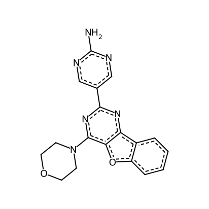 Nc1ncc(-c2nc(N3CCOCC3)c3oc4ccccc4c3n2)cn1